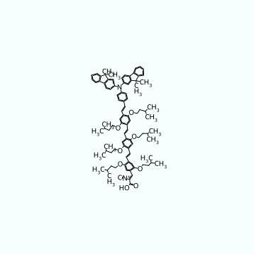 [C-]#[N+]/C(=C\c1cc(OCCC(C)C)c(/C=C/c2cc(OCCC(C)C)c(/C=C/c3cc(OCCC(C)C)c(/C=C/c4ccc(N(c5ccc6c(c5)C(C)(C)c5ccccc5-6)c5ccc6c(c5)C(C)(C)c5ccccc5-6)cc4)cc3OCCC(C)C)cc2OCCC(C)C)cc1OCCC(C)C)C(=O)O